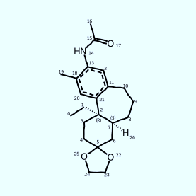 CC[C@@]12CCC3(C[C@@H]1CCCc1cc(NC(C)=O)c(C)cc12)OCCO3